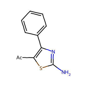 CC(=O)c1sc(N)nc1-c1ccccc1